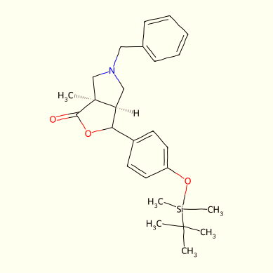 CC(C)(C)[Si](C)(C)Oc1ccc(C2OC(=O)[C@@]3(C)CN(Cc4ccccc4)C[C@@H]23)cc1